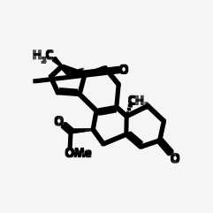 COC(=O)[C@@H]1CC2=CC(=O)CC[C@]2(C)C2=C1C1=CC[C@@]3(C)CCC(=O)[C@@]13CC2